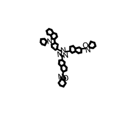 c1ccc(-n2c3ccc(-c4nc(-c5ccc6cc(-c7nc8ccccc8o7)ccc6c5)nc(-c5ccc6cc(-c7nc8ccccc8o7)ccc6c5)n4)cc3c3ccc4ccccc4c32)cc1